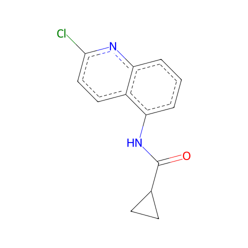 O=C(Nc1cccc2nc(Cl)ccc12)C1CC1